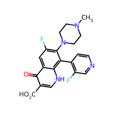 CN1CCN(c2c(F)cc3c(=O)c(C(=O)O)c[nH]c3c2-c2ccncc2F)CC1